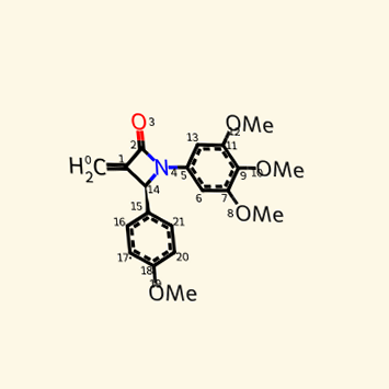 C=C1C(=O)N(c2cc(OC)c(OC)c(OC)c2)[C@H]1c1c[c]c(OC)cc1